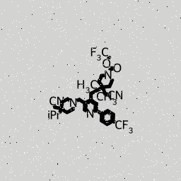 CC(C)C1(CC#N)CCN(Cc2cnc(-c3ccc(C(F)(F)F)cc3)cc2CC(C)(C)C2(CC#N)CCN(C(=O)OCC(F)(F)F)CC2)CC1